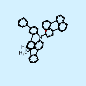 CC1(C)c2ccccc2-c2ccc(N(c3ccc(-c4cccc5cccc(-c6ccccc6)c45)cc3)c3ccc(-c4ccccc4)cc3-c3ccccc3)cc21